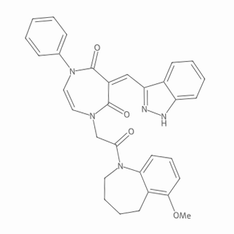 COc1cccc2c1CCCCN2C(=O)CN1C=CN(c2ccccc2)C(=O)/C(=C/c2n[nH]c3ccccc23)C1=O